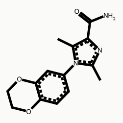 Cc1nc(C(N)=O)c(C)n1-c1ccc2c(c1)OCCO2